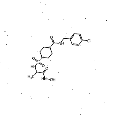 CC(NS(=O)(=O)N1CCN(C(=O)NCc2ccc(Cl)cc2)CC1)C(=O)NO